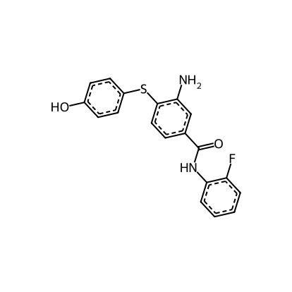 Nc1cc(C(=O)Nc2ccccc2F)ccc1Sc1ccc(O)cc1